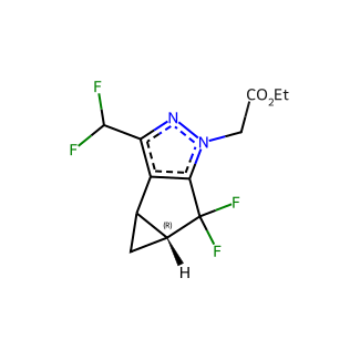 CCOC(=O)Cn1nc(C(F)F)c2c1C(F)(F)[C@@H]1CC21